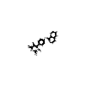 Cc1c(-c2ccc(OC3=NC=CC4C=CC=NC34)cc2)n(C)c(=O)[nH]c1=O